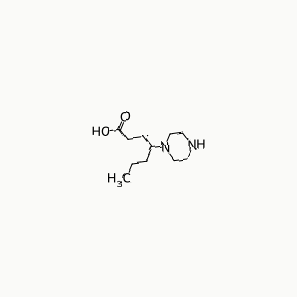 CCCC([CH]CC(=O)O)N1CCNCC1